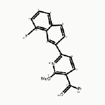 COc1nc(-c2ccc3cccc(F)c3c2)ccc1C(=O)C(C)C